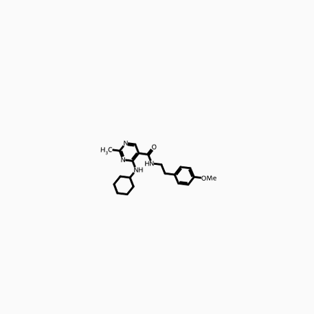 COc1ccc(CCNC(=O)c2cnc(C)nc2NC2CCCCC2)cc1